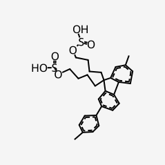 Cc1ccc(-c2ccc3c(c2)C(CCCCOS(=O)O)(CCCCOS(=O)O)c2cc(C)ccc2-3)cc1